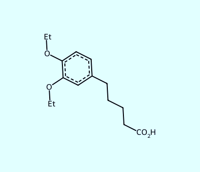 CCOc1ccc(CCCCC(=O)O)cc1OCC